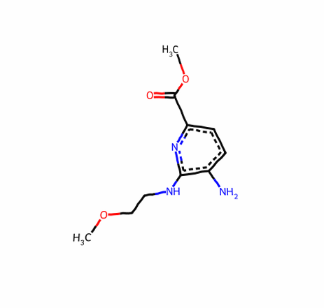 COCCNc1nc(C(=O)OC)ccc1N